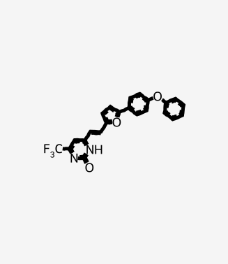 O=c1nc(C(F)(F)F)cc(C=Cc2ccc(-c3ccc(Oc4ccccc4)cc3)o2)[nH]1